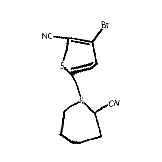 N#Cc1sc(N2CCCCC2C#N)cc1Br